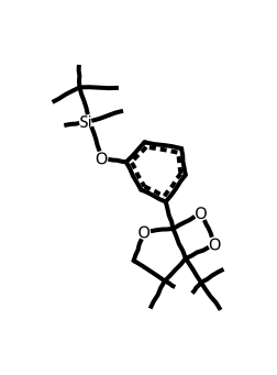 CC(C)(C)C12OOC1(c1cccc(O[Si](C)(C)C(C)(C)C)c1)OCC2(C)C